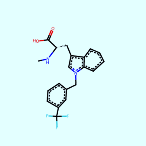 CN[C@@H](Cc1cn(Cc2cccc(C(F)(F)F)c2)c2ccccc12)C(=O)O